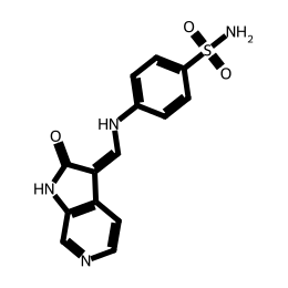 NS(=O)(=O)c1ccc(NC=C2C(=O)Nc3cnccc32)cc1